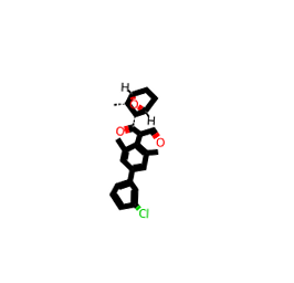 Cc1cc(-c2cccc(Cl)c2)cc(C)c1C(C=O)C(=O)[C@@H]1[C@H](C)[C@H]2CC[C@@H]1O2